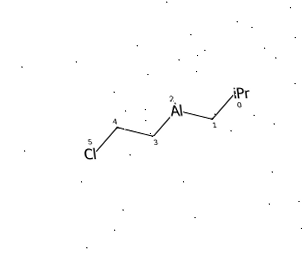 CC(C)[CH2][Al][CH2]CCl